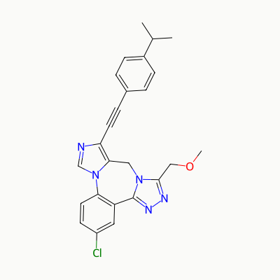 COCc1nnc2n1Cc1c(C#Cc3ccc(C(C)C)cc3)ncn1-c1ccc(Cl)cc1-2